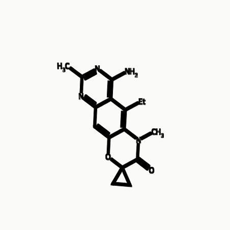 CCc1c2c(cc3nc(C)nc(N)c13)OC1(CC1)C(=O)N2C